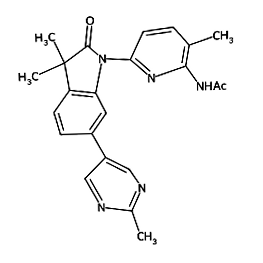 CC(=O)Nc1nc(N2C(=O)C(C)(C)c3ccc(-c4cnc(C)nc4)cc32)ccc1C